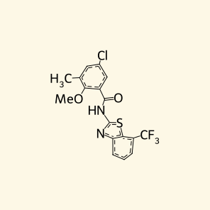 COc1c(C)cc(Cl)cc1C(=O)Nc1nc2cccc(C(F)(F)F)c2s1